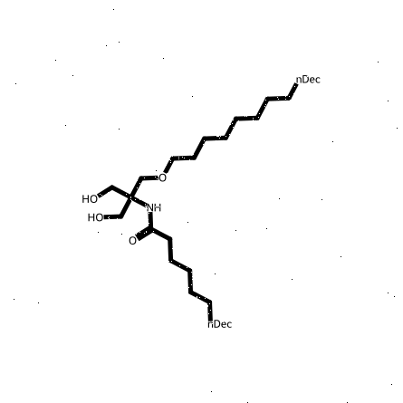 CCCCCCCCCCCCCCCCCCOCC(CO)(CO)NC(=O)CCCCCCCCCCCCCCC